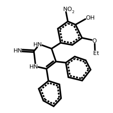 CCOc1cc(C2NC(=N)NC(c3ccccc3)=C2c2ccccc2)cc([N+](=O)[O-])c1O